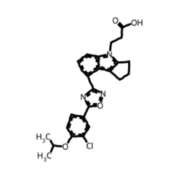 CC(C)Oc1ccc(-c2nc(-c3cccc4c3c3c(n4CCC(=O)O)CCC3)no2)cc1Cl